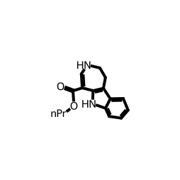 CCCOC(=O)C1=CNCCc2c1[nH]c1ccccc21